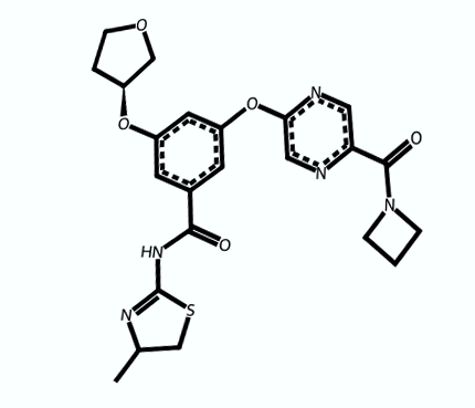 CC1CSC(NC(=O)c2cc(Oc3cnc(C(=O)N4CCC4)cn3)cc(O[C@H]3CCOC3)c2)=N1